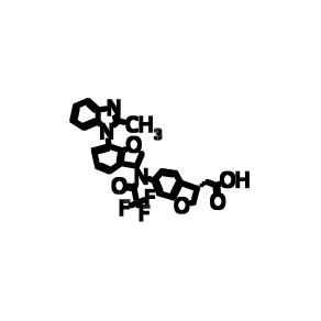 Cc1nc2ccccc2n1-c1cccc2c1OC[C@@H]2N(C(=O)C(F)(F)F)c1ccc2c(c1)OC[C@H]2CC(=O)O